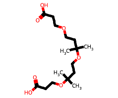 CC(C)(CCOCCC(=O)O)OCCC(C)(C)OCCC(=O)O